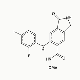 CONC(=O)c1cc2c(cc1Nc1ccc(I)cc1F)C(=O)NC2